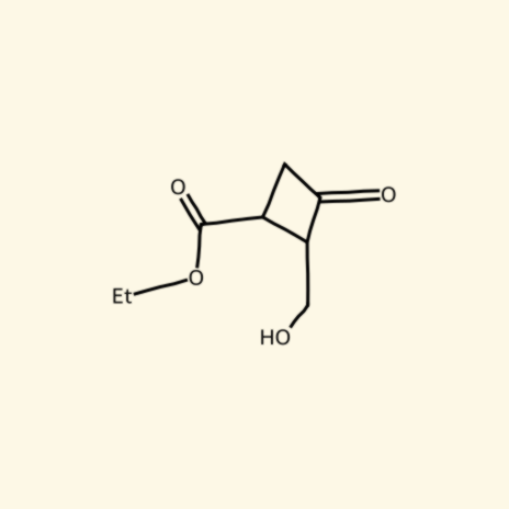 CCOC(=O)C1CC(=O)C1CO